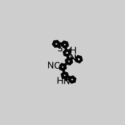 CC1CC(c2cc(-c3cc(C#N)cc(-c4ccc5[nH]c6ccccc6c5c4)c3)ccc2NC2=CCCC=C2)=CC=C1c1cccc2c1sc1ccccc12